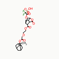 CC1(OC(=O)COCCOC(=O)C2C3CC4C(OC(=O)C42)C3OC(=O)C(F)(F)S(=O)(=O)O)C2CC3CC(C2)CC1C3